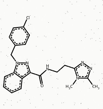 Cc1nnc(CCNC(=O)c2nn(Cc3ccc(Cl)cc3)c3ccccc23)n1C